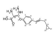 NN/C(Oc1ccc(C#CCC2CC2)cc1)=C(\N)C(=O)O